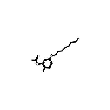 CCCCCCCCOc1ccc(C)c(OC(C)=O)c1